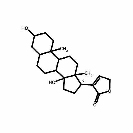 CC12CCC(O)CC1CCC1C2CCC2(C)[C@@H](C3=CCOC3=O)CCC12O